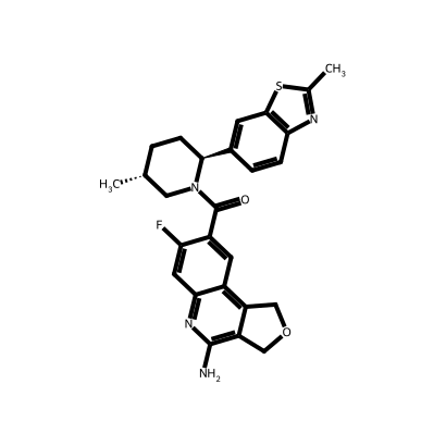 Cc1nc2ccc([C@@H]3CC[C@@H](C)CN3C(=O)c3cc4c5c(c(N)nc4cc3F)COC5)cc2s1